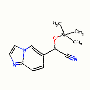 C[Si](C)(C)OC(C#N)c1ccc2nccn2c1